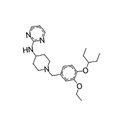 CCOc1cc(CN2CCC(Nc3ncccn3)CC2)ccc1OC(CC)CC